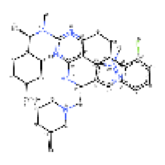 CC[C@H](C1CCC(C(=O)O)CC1)N(C)c1nc2c(c(N[C@@H](CN3CCC[C@H](C)C3)c3cnn(C)c3)n1)C[C@H](c1ccccc1F)CC2